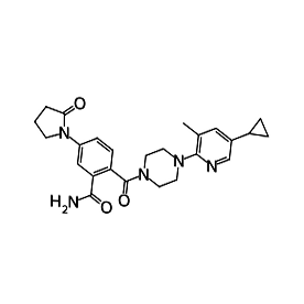 Cc1cc(C2CC2)cnc1N1CCN(C(=O)c2ccc(N3CCCC3=O)cc2C(N)=O)CC1